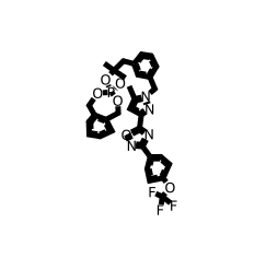 Cc1cc(-c2nc(-c3ccc(OC(F)(F)F)cc3)no2)nn1Cc1cccc(CC(C)(C)OP2(=O)OCc3ccccc3CO2)c1